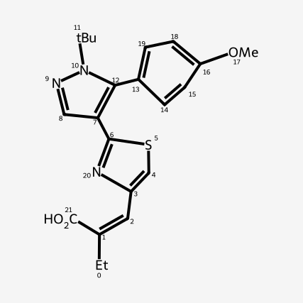 CCC(=Cc1csc(-c2cnn(C(C)(C)C)c2-c2ccc(OC)cc2)n1)C(=O)O